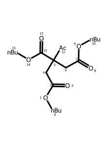 CCCCOC(=O)CC(CC(=O)OCCCC)(C(C)=O)C(=O)OCCCC